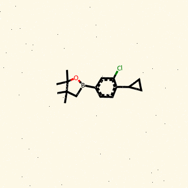 CC1(C)CB(c2ccc(C3CC3)c(Cl)c2)OC1(C)C